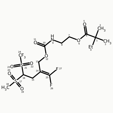 CCC(C)(C)C(=O)OCCNC(=O)OCC(CC(S(C)(=O)=O)S(=O)(=O)C(F)(F)F)=C(F)F